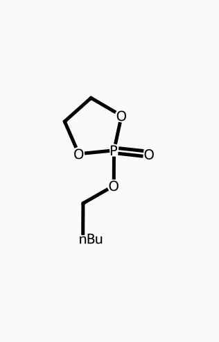 CCCCCOP1(=O)OCCO1